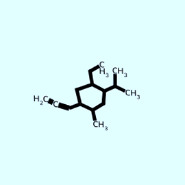 C=C=CC1CC(CC)C(C(C)C)CC1C